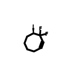 FC1(F)C#CCCCC[C@H]1I